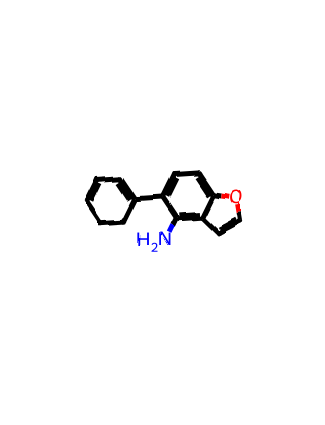 Nc1c(C2=CC=CCC2)ccc2occc12